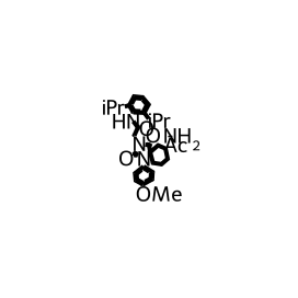 CC(N)=O.COc1ccc(N2C(=O)N(CC(=O)Nc3c(C(C)C)cccc3C(C)C)C(=O)C23CCCCC3)cc1